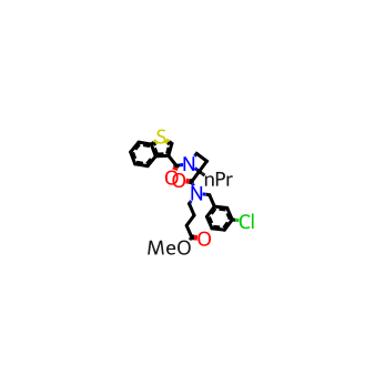 CCCC1(C(=O)N(CCCC(=O)OC)Cc2cccc(Cl)c2)CCN1C(=O)c1csc2ccccc12